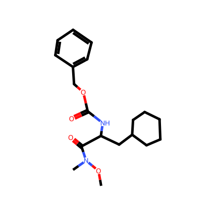 CON(C)C(=O)C(CC1CCCCC1)NC(=O)OCc1ccccc1